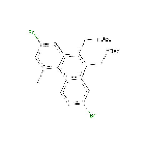 CCCCCCCCCCCc1c(CCCCCCCCCCC)c2cc(Br)cc(C)c2c2ccc(Br)cc12